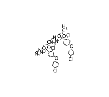 CC1COC(Cn2cncn2)(c2ccc(Oc3ccc(Cl)cc3)cc2Cl)O1.CC1COC(Cn2cncn2)(c2ccc(Oc3ccc(Cl)cc3)cc2Cl)O1